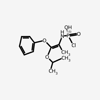 CC(N[P@](=O)(O)Cl)=C(Oc1ccccc1)OC(C)C